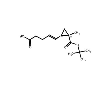 CC(C)(C)OC(=O)[C@@]1(C)C[C@@H]1C=CCCC(=O)O